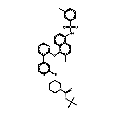 Cc1cccc(S(=O)(=O)Nc2cccc3c(Oc4ncccc4-c4ccnc(N[C@H]5CCCN(C(=O)OC(C)(C)C)C5)n4)c(C)ccc23)n1